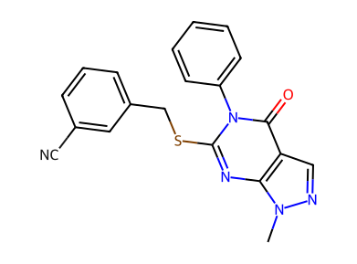 Cn1ncc2c(=O)n(-c3ccccc3)c(SCc3cccc(C#N)c3)nc21